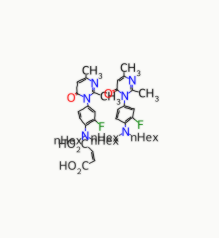 CCCCCCN(CCCCCC)c1ccc(-n2c(C)nc(C)cc2=O)cc1F.CCCCCCN(CCCCCC)c1ccc(-n2c(C)nc(C)cc2=O)cc1F.O=C(O)/C=C\C(=O)O